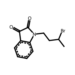 CC(Br)CCN1C(=O)C(=O)c2ccccc21